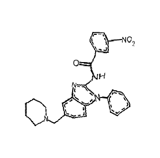 O=C(Nc1nc2cc(CN3CCCCC3)ccc2n1-c1ccccc1)c1cccc([N+](=O)[O-])c1